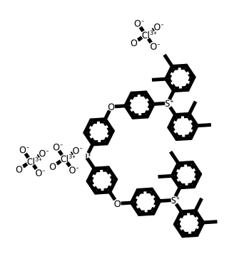 Cc1cccc([S+](c2ccc(Oc3ccc([I+]c4ccc(Oc5ccc([S+](c6cccc(C)c6C)c6cccc(C)c6C)cc5)cc4)cc3)cc2)c2cccc(C)c2C)c1C.[O-][Cl+3]([O-])([O-])[O-].[O-][Cl+3]([O-])([O-])[O-].[O-][Cl+3]([O-])([O-])[O-]